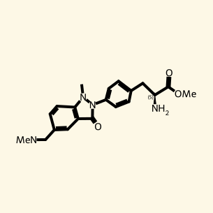 CNCc1ccc2c(c1)c(=O)n(-c1ccc(C[C@H](N)C(=O)OC)cc1)n2C